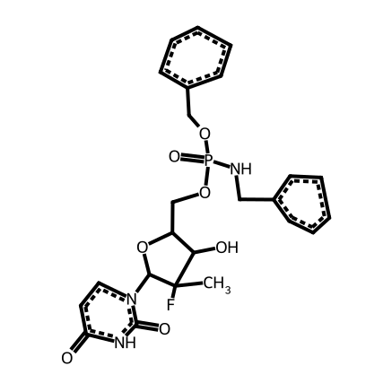 CC1(F)C(O)C(COP(=O)(NCc2ccccc2)OCc2ccccc2)OC1n1ccc(=O)[nH]c1=O